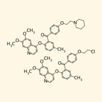 COc1cc2nccc(Oc3ccc(C)cc3C(=O)c3ccc(OCCCl)cc3)c2cc1OC.COc1cc2nccc(Oc3ccc(C)cc3C(=O)c3ccc(OCCN4CCCCC4)cc3)c2cc1OC